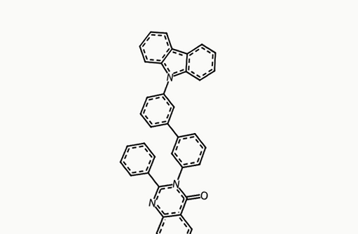 O=c1c2ccccc2nc(-c2ccccc2)n1-c1cccc(-c2cccc(-n3c4ccccc4c4ccccc43)c2)c1